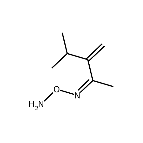 C=C(/C(C)=N\ON)C(C)C